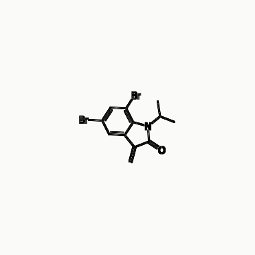 C=C1C(=O)N(C(C)C)c2c(Br)cc(Br)cc21